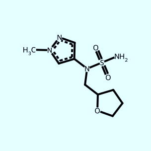 Cn1cc(N(CC2CCCO2)S(N)(=O)=O)cn1